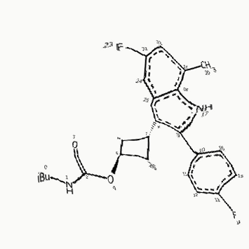 CCC(C)NC(=O)O[C@H]1C[C@H](c2c(-c3ccc(F)cc3)[nH]c3c(C)cc(F)cc32)C1